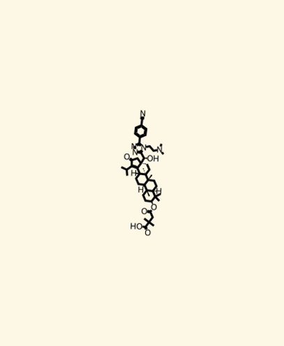 CC(C)C1=C2[C@H]3CC[C@@H]4[C@@]5(C)CC[C@H](OC(=O)CC(C)(C)C(=O)O)C(C)(C)[C@@H]5CC[C@@]4(C)[C@]3(C)CC[C@@]2([C@H](O)c2nnc(-c3ccc(C#N)cc3)n2CCN(C)C)CC1=O